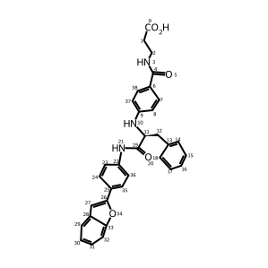 O=C(O)CCNC(=O)c1ccc(N[C@@H](Cc2ccccc2)C(=O)Nc2ccc(-c3cc4ccccc4o3)cc2)cc1